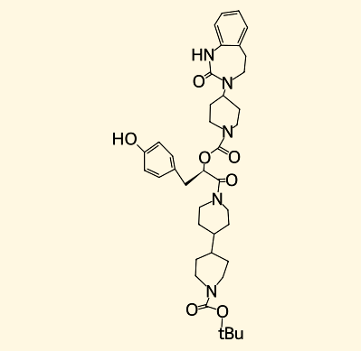 CC(C)(C)OC(=O)N1CCC(C2CCN(C(=O)[C@@H](Cc3ccc(O)cc3)OC(=O)N3CCC(N4CCc5ccccc5NC4=O)CC3)CC2)CC1